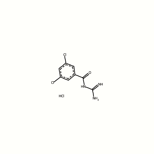 Cl.N=C(N)NC(=O)c1cc(Cl)cc(Cl)c1